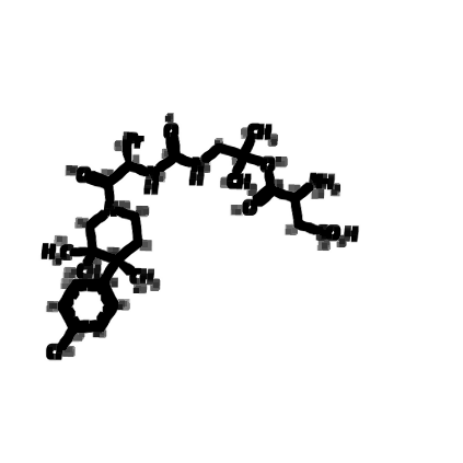 CC(C)[C@@H](NC(=O)NCC(C)(C)OC(=O)C(N)CS(=O)(=O)O)C(=O)N1CC[C@](C)(c2ccc(Cl)cc2)C(C)(C)C1